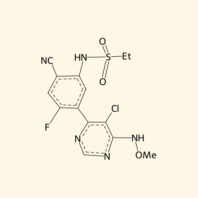 CCS(=O)(=O)Nc1cc(-c2ncnc(NOC)c2Cl)c(F)cc1C#N